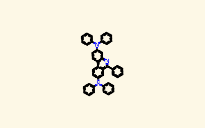 c1ccc(-c2nc3cc(N(c4ccccc4)c4ccccc4)ccc3c3ccc(N(c4ccccc4)c4ccccc4)cc23)cc1